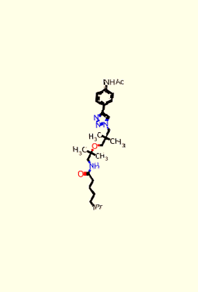 CC(=O)Nc1ccc(-c2cn(CC(C)(C)COC(C)(C)CNC(=O)CCCCC(C)C)nn2)cc1